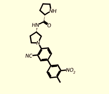 Cc1ccc(-c2ccc(N3CC[C@H](NC(=O)[C@@H]4CCCN4)C3)c(C#N)c2)cc1[N+](=O)[O-]